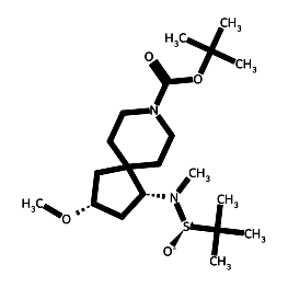 CO[C@H]1C[C@@H](N(C)[S@+]([O-])C(C)(C)C)C2(CCN(C(=O)OC(C)(C)C)CC2)C1